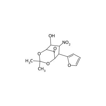 CC1(C)OC2C(=O)C(O1)C(c1ccco1)C([N+](=O)[O-])C2O